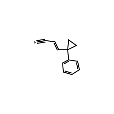 N#CC=CC1(c2ccccc2)CC1